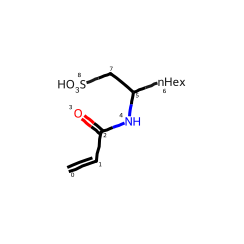 C=CC(=O)NC(CCCCCC)CS(=O)(=O)O